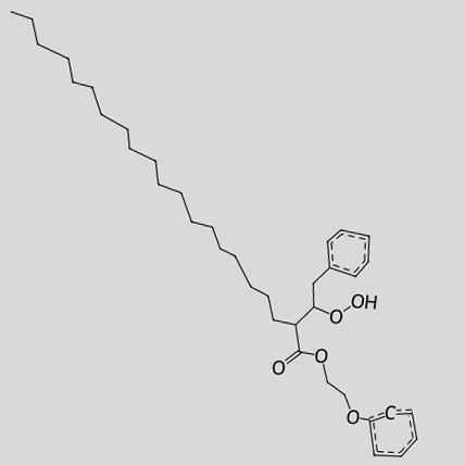 CCCCCCCCCCCCCCCCCCCC(C(=O)OCCOc1ccccc1)C(Cc1ccccc1)OO